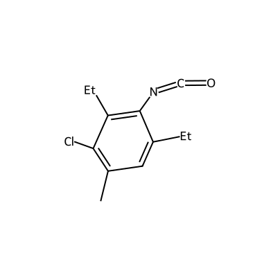 CCc1cc(C)c(Cl)c(CC)c1N=C=O